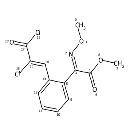 CON=C(C(=O)OC)c1ccccc1/C=C(\Cl)C(=O)Cl